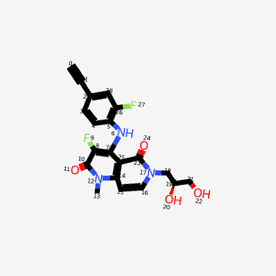 C#Cc1ccc(Nc2c(F)c(=O)n(C)c3ccn(C[C@H](O)CO)c(=O)c23)c(F)c1